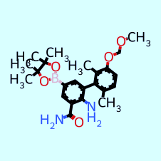 COCOc1ccc(C)c(-c2cc(B3OC(C)(C)C(C)(C)O3)cc(C(N)=O)c2N)c1C